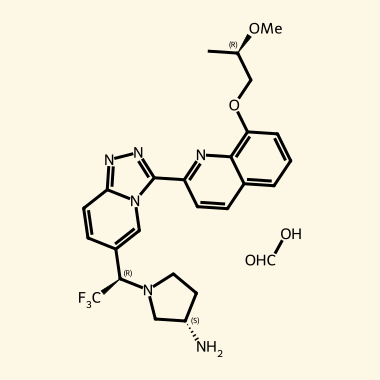 CO[C@H](C)COc1cccc2ccc(-c3nnc4ccc([C@@H](N5CC[C@H](N)C5)C(F)(F)F)cn34)nc12.O=CO